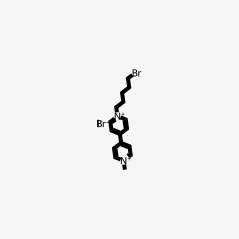 C[n+]1ccc(-c2cc[n+](CCCCCBr)cc2)cc1.[Br-].[I-]